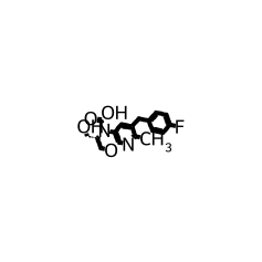 Cc1nc2c(cc1Cc1ccc(F)cc1)N(C(=O)O)[C@@H](CO)CO2